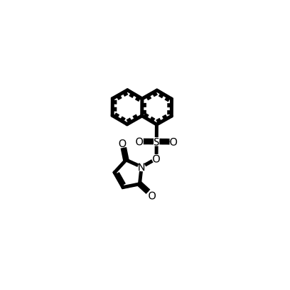 O=C1C=CC(=O)N1OS(=O)(=O)c1cccc2ccccc12